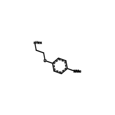 CCCCCCCCOc1ccc(NC)cc1